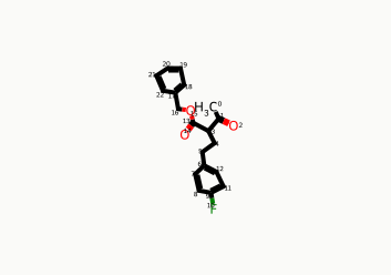 CC(=O)C(CCc1ccc(F)cc1)C(=O)OCc1ccccc1